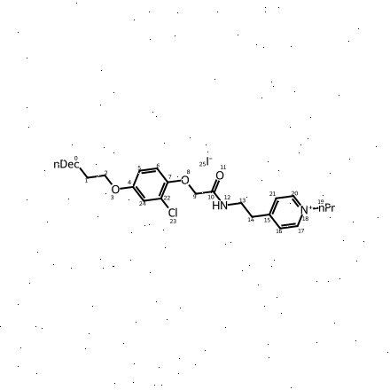 CCCCCCCCCCCCOc1ccc(OCC(=O)NCCc2cc[n+](CCC)cc2)c(Cl)c1.[I-]